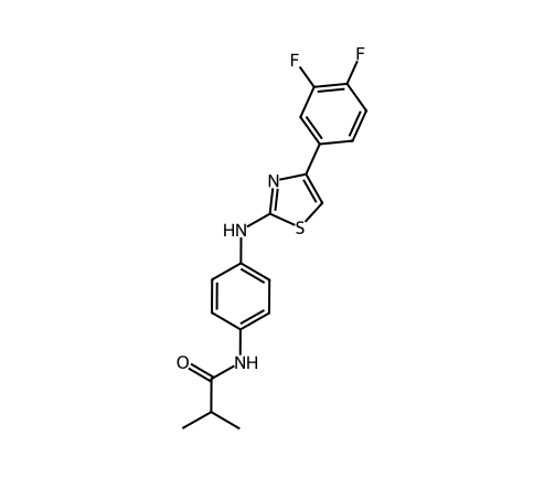 CC(C)C(=O)Nc1ccc(Nc2nc(-c3ccc(F)c(F)c3)cs2)cc1